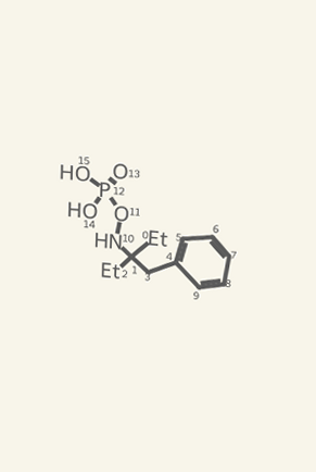 CCC(CC)(Cc1ccccc1)NOP(=O)(O)O